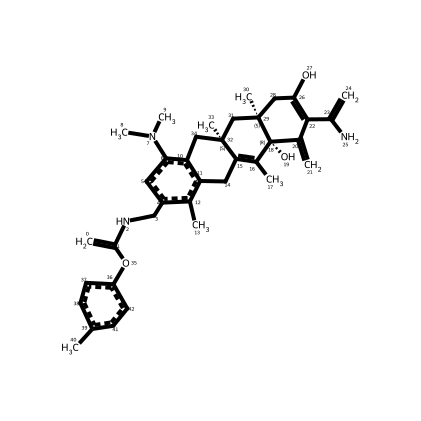 C=C(NCc1cc(N(C)C)c2c(c1C)CC1=C(C)[C@]3(O)C(=C)C(C(=C)N)=C(O)C[C@]3(C)C[C@]1(C)C2)Oc1ccc(C)cc1